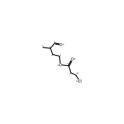 CC(C=O)CCOC(=O)CCCl